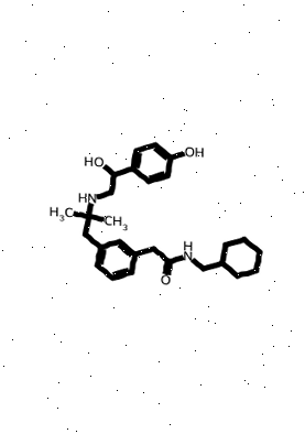 CC(C)(Cc1cccc(CC(=O)NCC2CCCCC2)c1)NCC(O)c1ccc(O)cc1